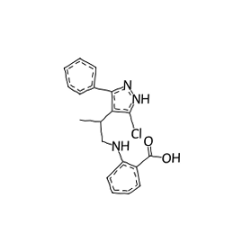 CC(CNc1ccccc1C(=O)O)c1c(-c2ccccc2)n[nH]c1Cl